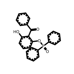 O=C(c1ccccc1)c1c(O)cccc1OP(=O)(c1ccccc1)c1ccccc1